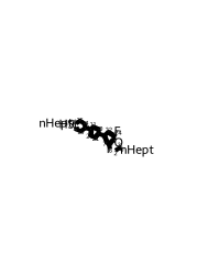 CCCCCCCC(C)Oc1c(F)cc(-c2ccc(C3CC[SiH](CCCCCCC)CC3)cc2)cc1F